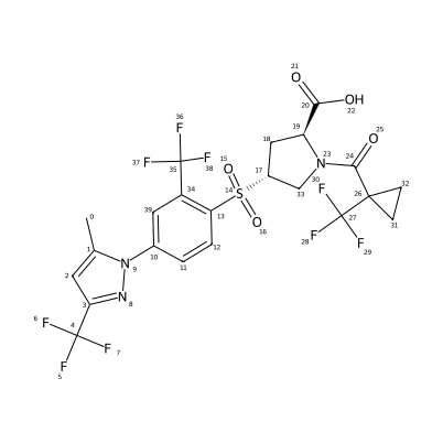 Cc1cc(C(F)(F)F)nn1-c1ccc(S(=O)(=O)[C@@H]2C[C@@H](C(=O)O)N(C(=O)C3(C(F)(F)F)CC3)C2)c(C(F)(F)F)c1